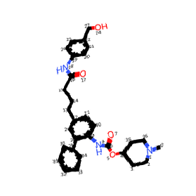 CN1CCC(OC(=O)Nc2ccc(CCCC(=O)Nc3ccc(CO)cc3)cc2-c2ccccc2)CC1